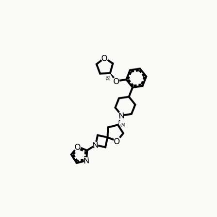 c1ccc(C2CCN([C@@H]3COC4(C3)CN(c3ncco3)C4)CC2)c(O[C@H]2CCOC2)c1